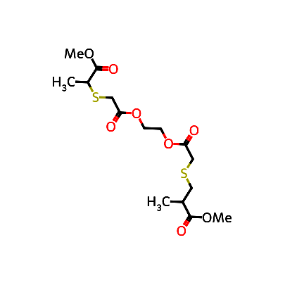 COC(=O)C(C)CSCC(=O)OCCOC(=O)CSC(C)C(=O)OC